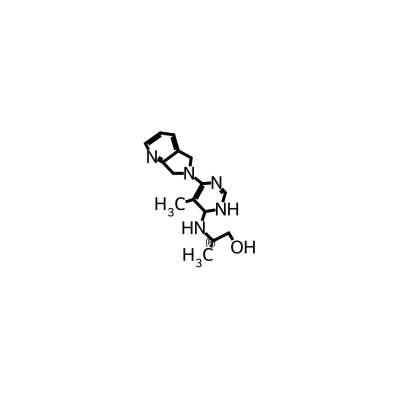 CC1=C(N2Cc3cccnc3C2)N=CNC1N[C@H](C)CO